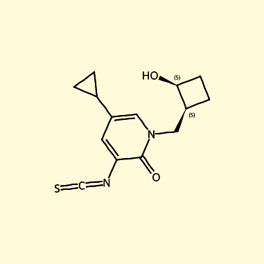 O=c1c(N=C=S)cc(C2CC2)cn1C[C@@H]1CC[C@@H]1O